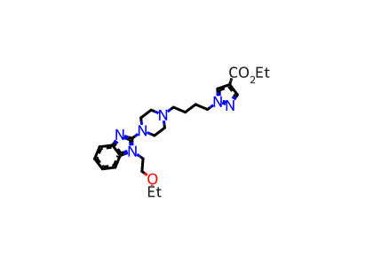 CCOCCn1c(N2CCN(CCCCn3cc(C(=O)OCC)cn3)CC2)nc2ccccc21